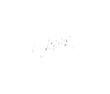 Cc1cc(C)nc(N2CC[C@@H]3CN(C(=O)OC(C)(C)C)C[C@@H]3C2)n1